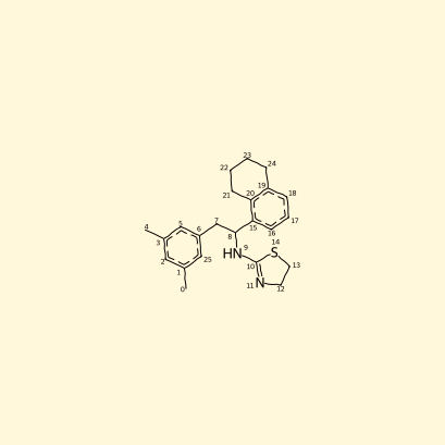 Cc1cc(C)cc(CC(NC2=NCCS2)c2cccc3c2CCCC3)c1